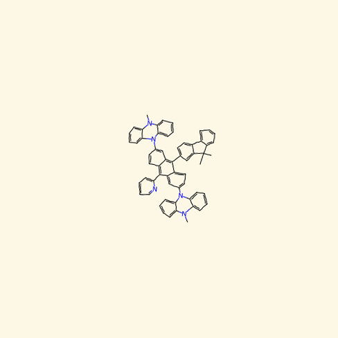 CN1c2ccccc2N(c2ccc3c(-c4ccccn4)c4cc(N5c6ccccc6N(C)c6ccccc65)ccc4c(-c4ccc5c(c4)C(C)(C)c4ccccc4-5)c3c2)c2ccccc21